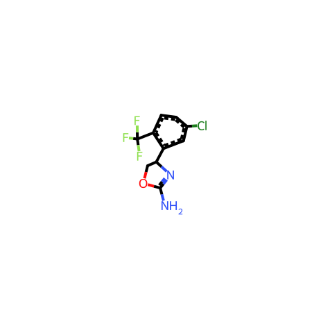 NC1=NC(c2cc(Cl)ccc2C(F)(F)F)CO1